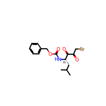 CC(C)C[C@H](NC(=O)OCc1ccccc1)C(=O)C(=O)CBr